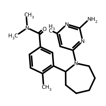 Cc1cc(N2CCCCCC2c2cc(C(=O)N(C)C)ccc2C)nc(N)n1